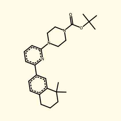 CC(C)(C)OC(=O)N1CCN(c2cccc(-c3ccc4c(c3)C(C)(C)CCC4)n2)CC1